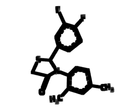 Cc1ccc(N2C(=O)CSC2c2ccc(F)c(F)c2)c(C)c1